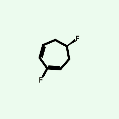 FC1=CC[C@H](F)CC=C1